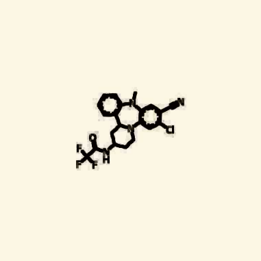 CN1c2ccccc2C2CC(NC(=O)C(F)(F)F)CCN2c2cc(Cl)c(C#N)cc21